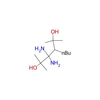 CCCCC(C(C)(C)O)C(N)(N)C(C)(C)O